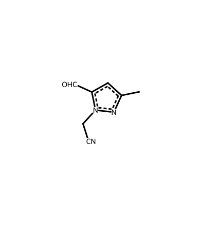 Cc1cc(C=O)n(CC#N)n1